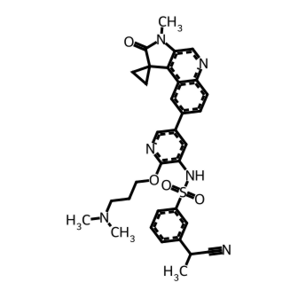 CC(C#N)c1cccc(S(=O)(=O)Nc2cc(-c3ccc4ncc5c(c4c3)C3(CC3)C(=O)N5C)cnc2OCCCN(C)C)c1